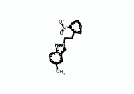 Cc1ccc2nn(CCc3ccccc3[N+](=O)[O-])cc2c1